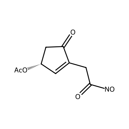 CC(=O)O[C@H]1C=C(CC(=O)N=O)C(=O)C1